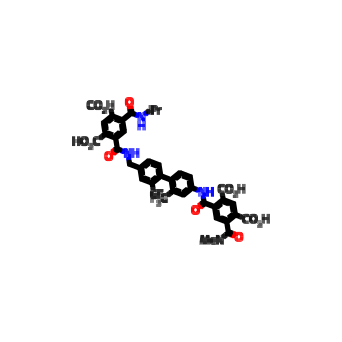 CNC(=O)c1cc(C(=O)Nc2ccc(-c3ccc(CNC(=O)c4cc(C(=O)NC(C)C)c(C(=O)O)cc4C(=O)O)cc3C(F)(F)F)c(C(F)(F)F)c2)c(C(=O)O)cc1C(=O)O